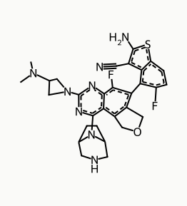 CN(C)C1CN(c2nc(N3C4CCC3CNC4)c3c4c(c(-c5c(F)ccc6sc(N)c(C#N)c56)c(F)c3n2)COC4)C1